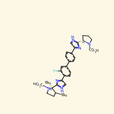 CC(C)(C)C1CCN(C(=O)O)[C@]1(c1nc(-c2ccc(-c3ccc(-c4c[nH]c([C@@H]5CCCN5C(=O)O)n4)cc3)cc2F)c[nH]1)C(C)(C)C